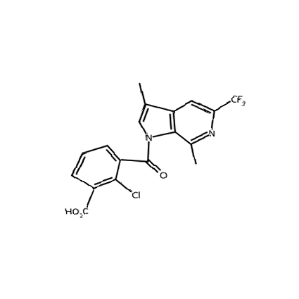 Cc1cn(C(=O)c2cccc(C(=O)O)c2Cl)c2c(C)nc(C(F)(F)F)cc12